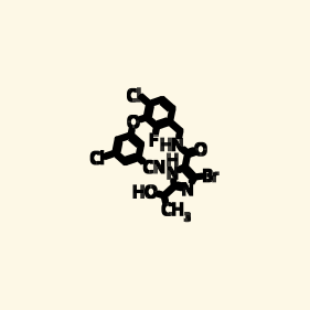 CC(O)c1nc(Br)c(C(=O)NCc2ccc(Cl)c(Oc3cc(Cl)cc(C#N)c3)c2F)[nH]1